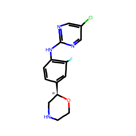 Fc1cc([C@@H]2CNCCO2)ccc1Nc1ncc(Cl)cn1